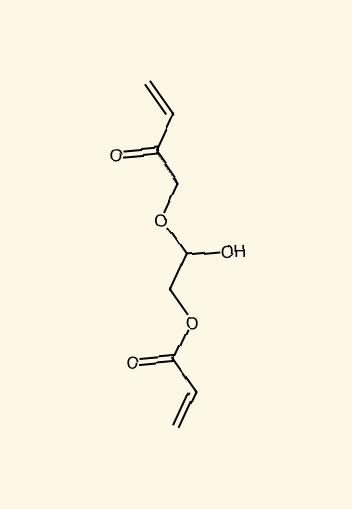 C=CC(=O)COC(O)COC(=O)C=C